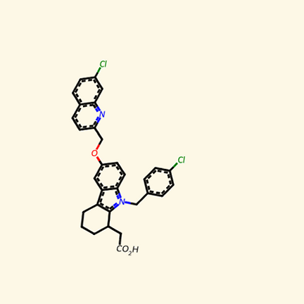 O=C(O)CC1CCCc2c1n(Cc1ccc(Cl)cc1)c1ccc(OCc3ccc4ccc(Cl)cc4n3)cc21